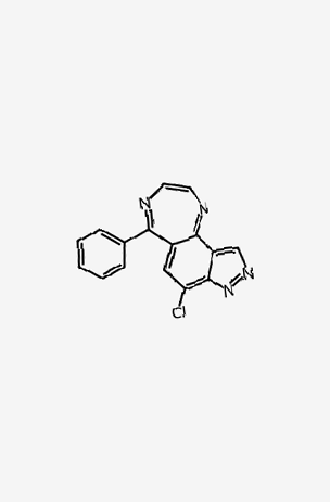 Clc1cc2c(-c3ccccc3)nccnc2c2cnnc12